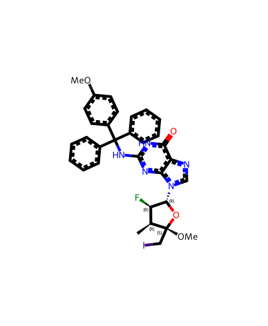 COc1ccc(C(Nc2nc3c(ncn3[C@@H]3O[C@@](CI)(OC)[C@@H](C)[C@H]3F)c(=O)[nH]2)(c2ccccc2)c2ccccc2)cc1